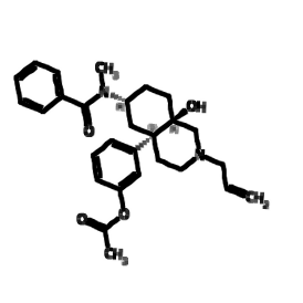 C=CCN1CC[C@@]2(c3cccc(OC(C)=O)c3)C[C@H](N(C)C(=O)c3ccccc3)CC[C@]2(O)C1